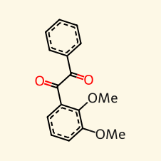 COc1cccc(C(=O)C(=O)c2ccccc2)c1OC